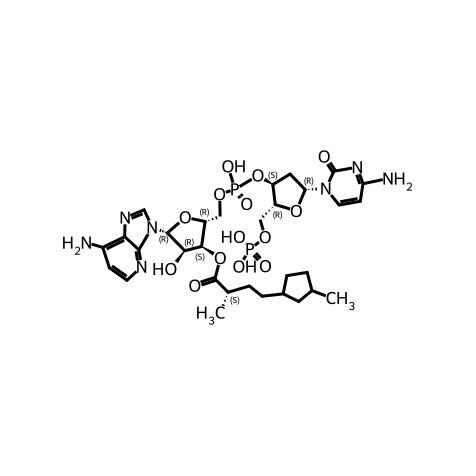 CC1CCC(CC[C@H](C)C(=O)O[C@H]2[C@@H](O)[C@H](n3cnc4c(N)ccnc43)O[C@@H]2COP(=O)(O)O[C@H]2C[C@H](n3ccc(N)nc3=O)O[C@@H]2COP(=O)(O)O)C1